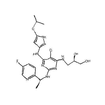 CC(C)Oc1cc(Nc2nc(N[C@@H](C)c3ccc(F)cn3)nc(NC[C@@H](O)CO)c2Cl)n[nH]1